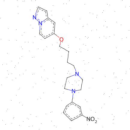 O=[N+]([O-])c1cccc(N2CCN(CCCCOc3ccn4nccc4c3)CC2)c1